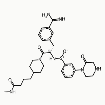 CNC(=O)CCCC1CCN(C(=O)[C@H](Cc2cccc(C(=N)N)c2)N[S+]([O-])c2cccc(N3CCNCC3=O)c2)CC1